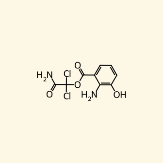 NC(=O)C(Cl)(Cl)OC(=O)c1cccc(O)c1N